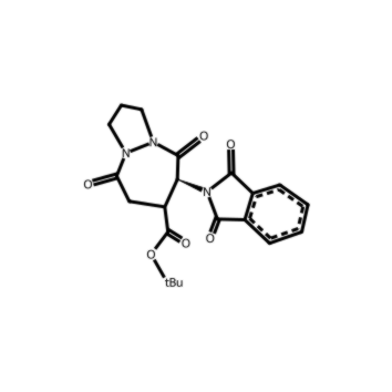 CC(C)(C)OC(=O)C1CC(=O)N2CCCN2C(=O)[C@H]1N1C(=O)c2ccccc2C1=O